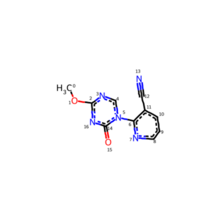 COc1ncn(-c2ncccc2C#N)c(=O)n1